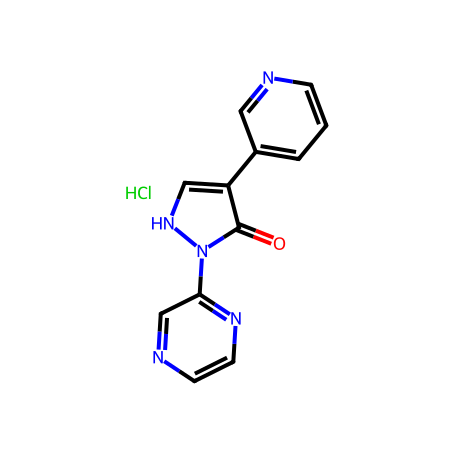 Cl.O=c1c(-c2cccnc2)c[nH]n1-c1cnccn1